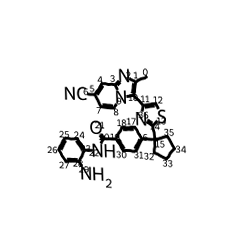 Cc1nc2cc(C#N)ccn2c1-c1csc(C2(c3ccc(C(=O)Nc4ccccc4N)cc3)CCCC2)n1